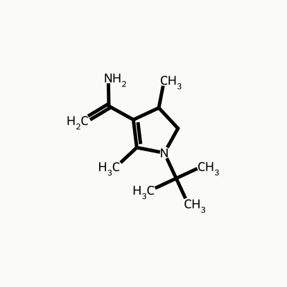 C=C(N)C1=C(C)N(C(C)(C)C)CC1C